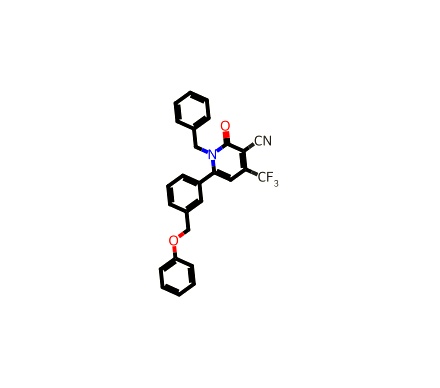 N#Cc1c(C(F)(F)F)cc(-c2cccc(COc3ccccc3)c2)n(Cc2ccccc2)c1=O